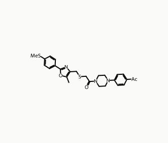 CSc1ccc(-c2nc(CSCC(=O)N3CCN(c4ccc(C(C)=O)cc4)CC3)c(C)o2)cc1